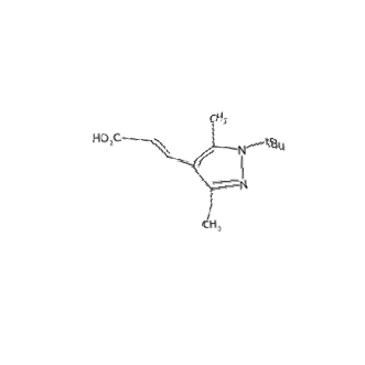 Cc1nn(C(C)(C)C)c(C)c1/C=C/C(=O)O